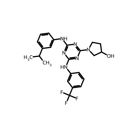 CC(C)c1cccc(Nc2nc(Nc3cccc(C(F)(F)F)c3)nc(N3CCC(O)C3)n2)c1